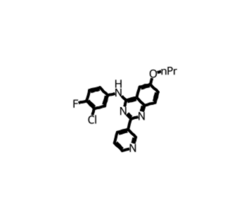 CCCOc1ccc2nc(-c3cccnc3)nc(Nc3ccc(F)c(Cl)c3)c2c1